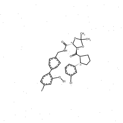 CCOc1cc(F)ccc1-c1ccc(CNC(=O)[C@@H]2OC(C)(C)O[C@H]2C(=O)N2CCC[C@@H]2c2cccc(Cl)c2)cc1